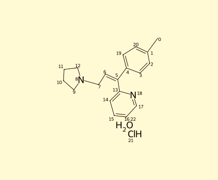 Cc1ccc(C(=CCN2CCCC2)c2ccccn2)cc1.Cl.O